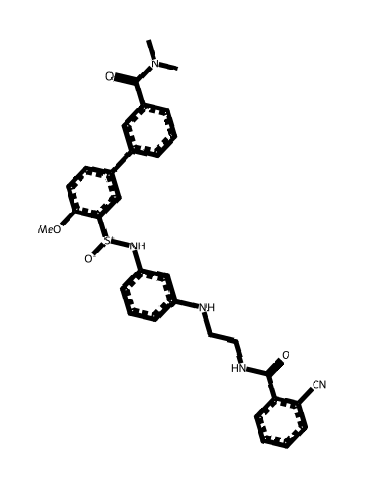 COc1ccc(-c2cccc(C(=O)N(C)C)c2)cc1[S+]([O-])Nc1cccc(NCCNC(=O)c2ccccc2C#N)c1